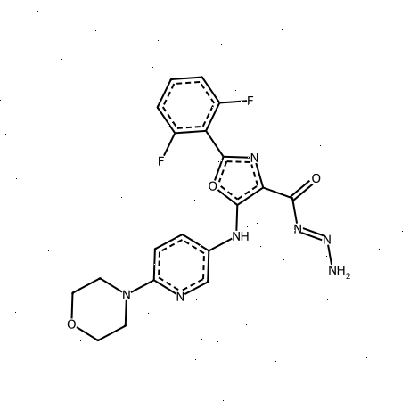 NN=NC(=O)c1nc(-c2c(F)cccc2F)oc1Nc1ccc(N2CCOCC2)nc1